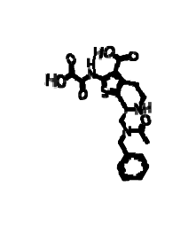 CC(=O)N(Cc1ccccc1)C[C@@H]1NCCc2c1sc(NC(=O)C(=O)O)c2C(=O)O